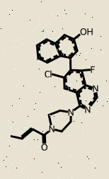 CC=CC(=O)N1CCN(c2ncnc3c(F)c(-c4cc(O)cc5ccccc45)c(Cl)cc23)CC1